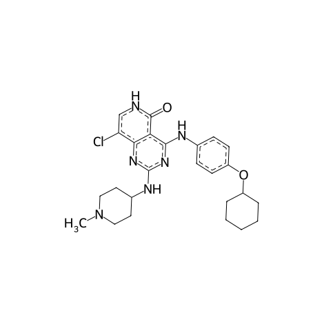 CN1CCC(Nc2nc(Nc3ccc(OC4CCCCC4)cc3)c3c(=O)[nH]cc(Cl)c3n2)CC1